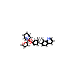 Cc1c(-c2ccc(OC3CC4CCC(C3)N4C(=O)[C@H]3CCCO3)cc2)ccc2cccnc12